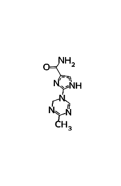 CC1=NCN(c2nc(C(N)=O)c[nH]2)C=N1